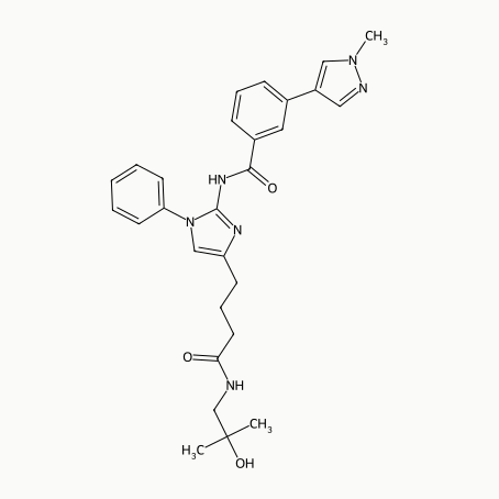 Cn1cc(-c2cccc(C(=O)Nc3nc(CCCC(=O)NCC(C)(C)O)cn3-c3ccccc3)c2)cn1